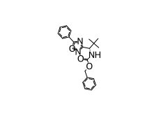 CC(C)(C)[C@H](NC(=O)OCc1ccccc1)c1noc(-c2ccccc2)n1